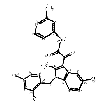 Cc1cc(NC(=O)C(=O)c2c(C(F)(F)F)n(Cc3ccc(Cl)cc3Cl)c3ccc(Cl)cc23)ccn1